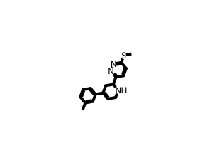 CSc1ccc(C2CC(c3cccc(C)c3)=CCN2)nn1